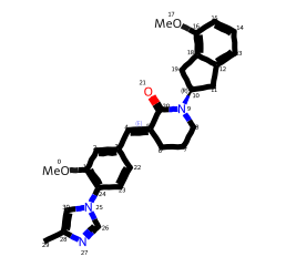 COc1cc(/C=C2\CCCN([C@@H]3Cc4cccc(OC)c4C3)C2=O)ccc1-n1cnc(C)c1